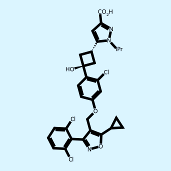 CC(C)n1nc(C(=O)O)cc1[C@H]1C[C@@](O)(c2ccc(OCc3c(-c4c(Cl)cccc4Cl)noc3C3CC3)cc2Cl)C1